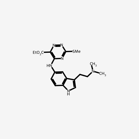 CCOC(=O)c1nnc(SC)nc1Nc1ccc2[nH]cc(CCN(C)C)c2c1